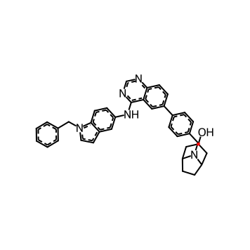 OC1CC2CCC(C1)N2Cc1ccc(-c2ccc3ncnc(Nc4ccc5c(ccn5Cc5ccccc5)c4)c3c2)cc1